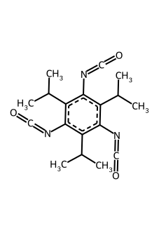 CC(C)c1c(N=C=O)c(C(C)C)c(N=C=O)c(C(C)C)c1N=C=O